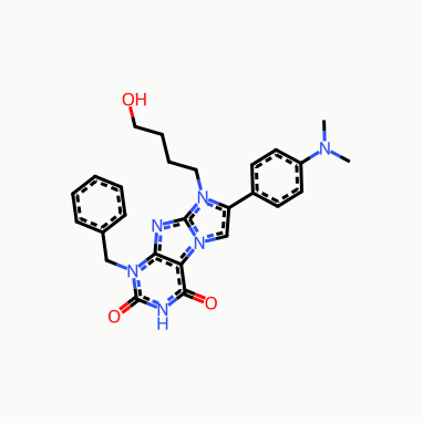 CN(C)c1ccc(-c2cn3c4c(=O)[nH]c(=O)n(Cc5ccccc5)c4nc3n2CCCCO)cc1